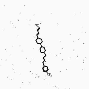 N#CC=CC=CC1CCC(C2CCC(CCCCc3ccc(C(F)(F)F)cc3)CC2)CC1